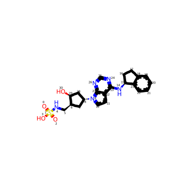 O=S(=O)(O)NC[C@@H]1C[C@@H](n2ccc3c(N[C@H]4CCc5ccccc54)ncnc32)C[C@@H]1O